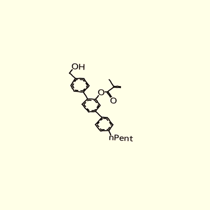 C=C(C)C(=O)Oc1cc(-c2ccc(CCCCC)cc2)ccc1-c1ccc(CO)cc1